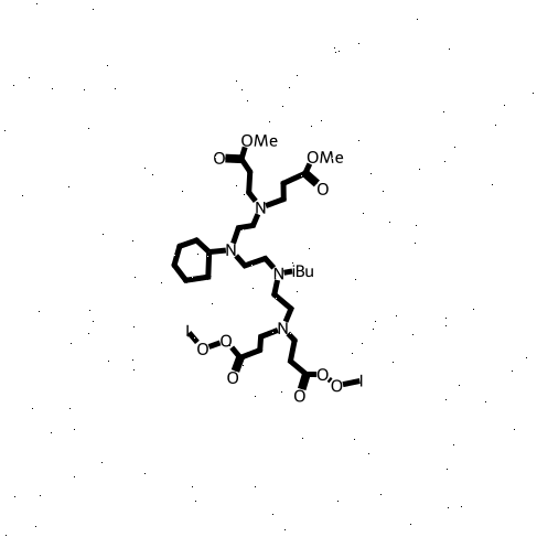 CCC(C)N(CCN(CCC(=O)OOI)CCC(=O)OOI)CCN(CCN(CCC(=O)OC)CCC(=O)OC)C1CCCCC1